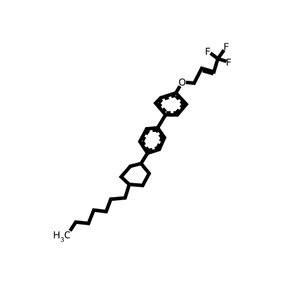 CCCCCCCC1CCC(c2ccc(-c3ccc(OCC=CC(F)(F)F)cc3)cc2)CC1